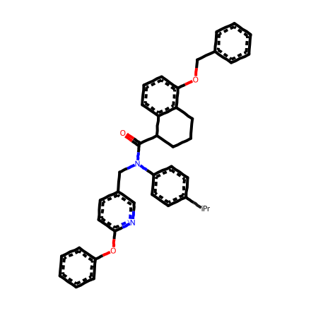 CC(C)c1ccc(N(Cc2ccc(Oc3ccccc3)nc2)C(=O)C2CCCc3c(OCc4ccccc4)cccc32)cc1